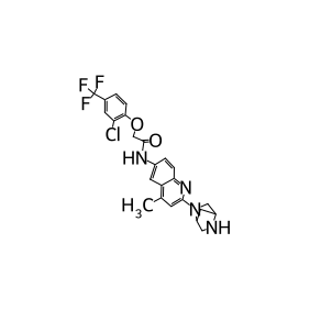 Cc1cc(N2CC3CC2CN3)nc2ccc(NC(=O)COc3ccc(C(F)(F)F)cc3Cl)cc12